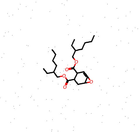 CCCCC(CC)COC(=O)C1C=C2OC2CC1C(=O)OCC(CC)CCCC